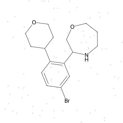 Brc1ccc(C2CCOCC2)c(C2COCCCN2)c1